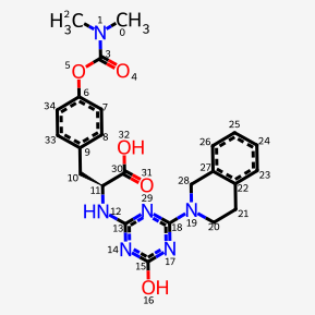 CN(C)C(=O)Oc1ccc(C[C@H](Nc2nc(O)nc(N3CCc4ccccc4C3)n2)C(=O)O)cc1